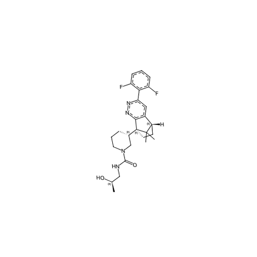 C[C@@H](O)CNC(=O)N1CCC[C@H]([C@@]23CC[C@@H](c4cc(-c5c(F)cccc5F)nnc42)C3(C)C)C1